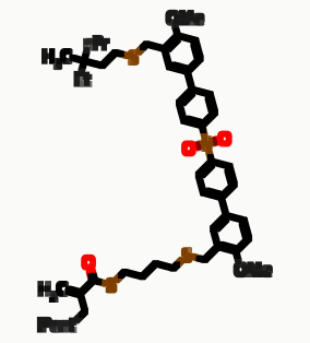 C=C(CC(C)CCC)C(=O)SCCCCSCc1cc(-c2ccc(S(=O)(=O)c3ccc(-c4ccc(OC)c(CSCCC(C)(CC)CCC)c4)cc3)cc2)ccc1OC